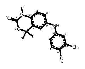 CN1C(=O)OC(C)(C)c2cc(Nc3ccc(Cl)c(Cl)c3)ccc21